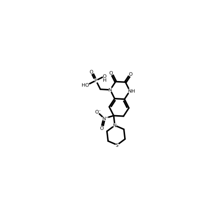 O=c1[nH]c2c(n(CP(=O)(O)O)c1=O)=CC(N1CCSCC1)([N+](=O)[O-])CC=2